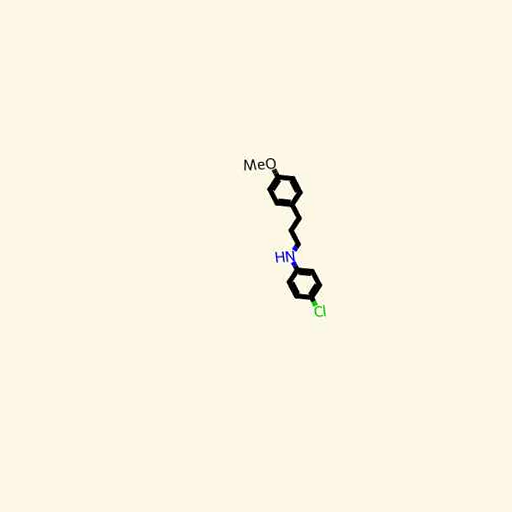 COc1ccc(CCCNc2ccc(Cl)cc2)cc1